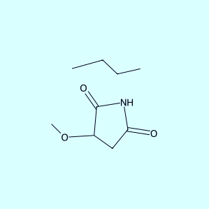 CCCC.COC1CC(=O)NC1=O